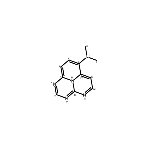 CN(C)C1=CC=C2N=CN=C3N=CC=C1N23